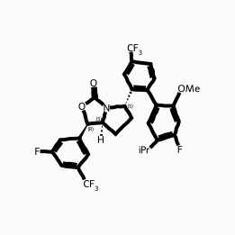 COc1cc(F)c(C(C)C)cc1-c1ccc(C(F)(F)F)cc1[C@@H]1CC[C@H]2[C@@H](c3cc(F)cc(C(F)(F)F)c3)OC(=O)N12